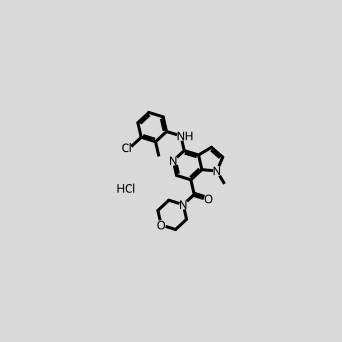 Cc1c(Cl)cccc1Nc1ncc(C(=O)N2CCOCC2)c2c1ccn2C.Cl